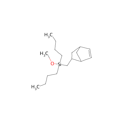 CCCC[Si](CCCC)(CC1CC2C=CC1C2)OC